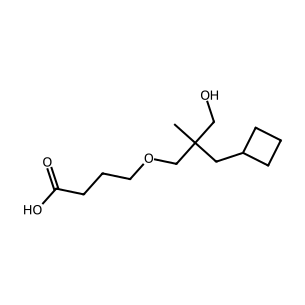 CC(CO)(COCCCC(=O)O)CC1CCC1